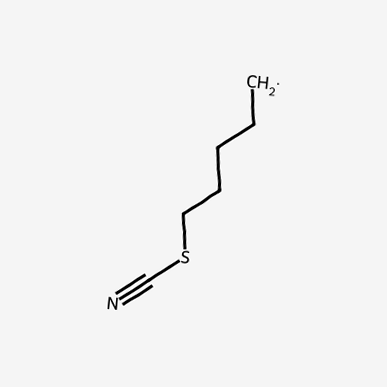 [CH2]CCCCSC#N